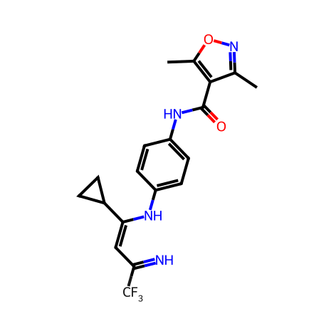 Cc1noc(C)c1C(=O)Nc1ccc(N/C(=C\C(=N)C(F)(F)F)C2CC2)cc1